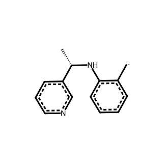 [CH2]c1ccccc1N[C@@H](C)c1cccnc1